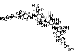 CC(=O)Nc1cc(/N=N/c2cc(/N=N/c3ccc(S(=O)(=O)CCOSOOO)cc3S(=O)(=O)O)c(N)nc2N)c(S(=O)(=O)O)cc1/N=N/c1ccc(S(=O)(=O)CCOSOOO)cc1